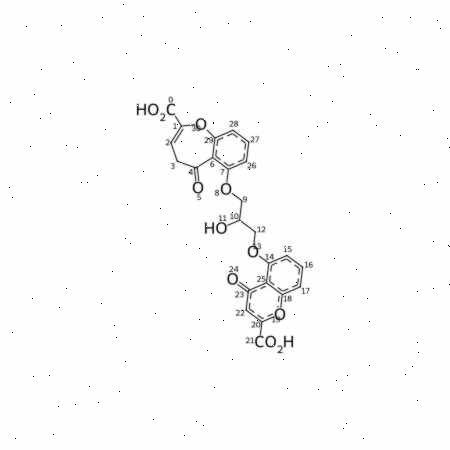 O=C(O)C1=CCC(=O)c2c(OCC(O)COc3cccc4oc(C(=O)O)cc(=O)c34)cccc2O1